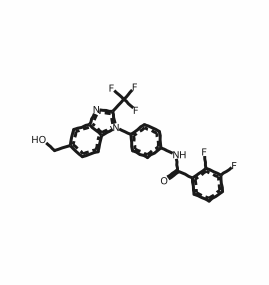 O=C(Nc1ccc(-n2c(C(F)(F)F)nc3cc(CO)ccc32)cc1)c1cccc(F)c1F